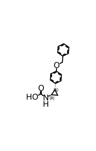 O=C(O)N[C@@H]1C[C@H]1c1ccc(OCc2ccccc2)cc1